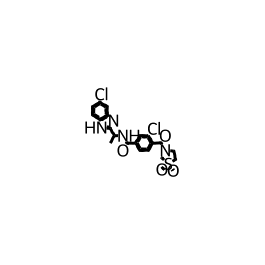 CC(NC(=O)c1ccc(C(=O)N2CCS(=O)(=O)C2)c(Cl)c1)c1nc2cc(Cl)ccc2[nH]1